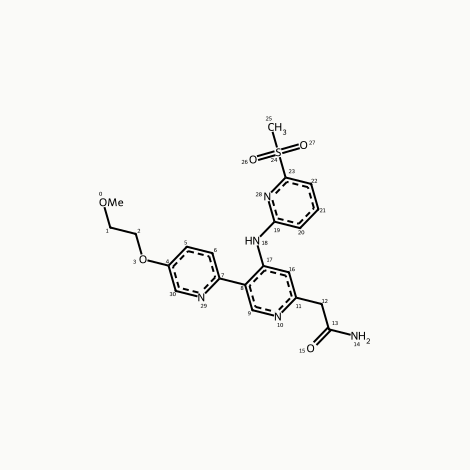 COCCOc1ccc(-c2cnc(CC(N)=O)cc2Nc2cccc(S(C)(=O)=O)n2)nc1